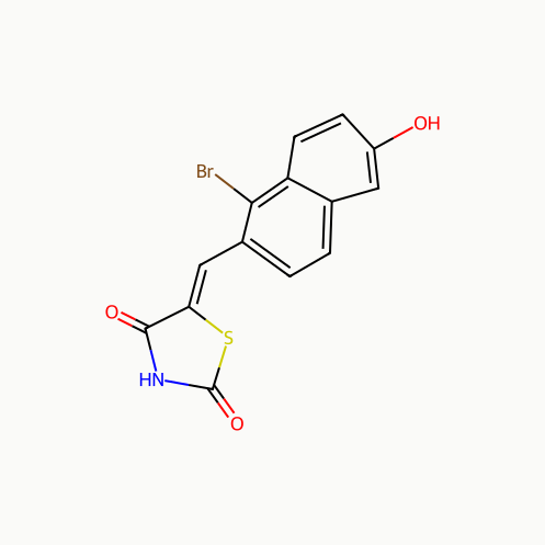 O=C1NC(=O)/C(=C/c2ccc3cc(O)ccc3c2Br)S1